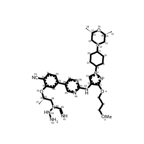 COCCCOc1nn(C2CCC(N3C[C@@H](C)O[C@@H](C)C3)CC2)cc1Nc1ncc(-c2ccc(C#N)c(O[C@@H](C)CN(C=N)NN)c2)cn1